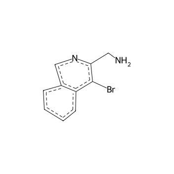 NCc1ncc2ccccc2c1Br